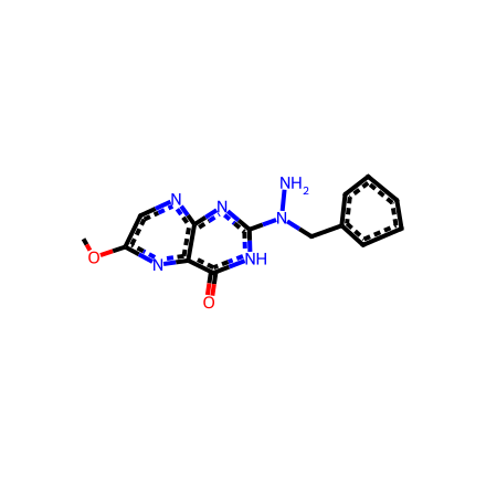 COc1cnc2nc(N(N)Cc3ccccc3)[nH]c(=O)c2n1